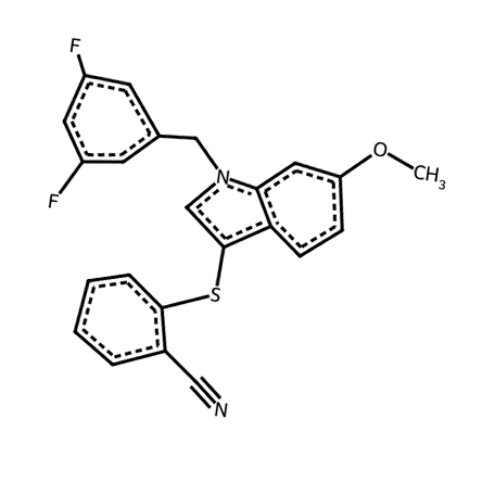 COc1ccc2c(Sc3ccccc3C#N)cn(Cc3cc(F)cc(F)c3)c2c1